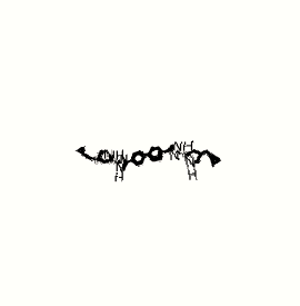 c1cc(-c2c[nH]c([C@@H]3CC(CC4CC4)CN3)n2)ccc1-c1ccc(-c2c[nH]c([C@@H]3C[C@@H](CC4CC4)CN3)n2)cc1